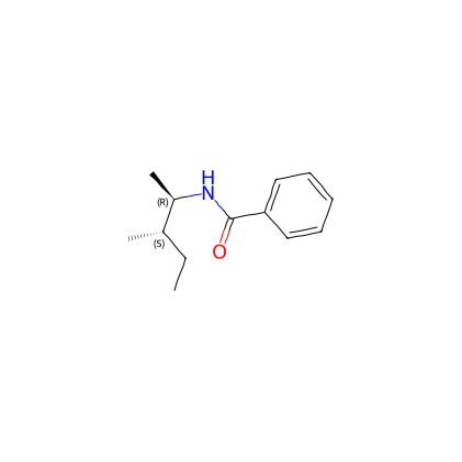 CC[C@H](C)[C@@H](C)NC(=O)c1ccccc1